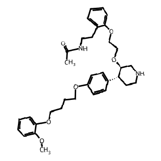 COc1ccccc1OCCCCOc1ccc([C@H]2CCNC[C@@H]2OCCOc2ccccc2CCNC(C)=O)cc1